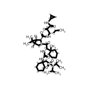 CCC[C@H](NC(=O)[C@@H]1[C@@H]2[C@H](CN1C(=O)[C@@H](NC(=O)NC1(CS(=O)(=O)N(C(C)C)C(C)C)CCCCC1)C1(C)CCCCC1)C2(C)C)C(=O)C(=O)NC1CC1